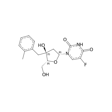 Cc1ccccc1C[C@]1(O)C[C@H](n2cc(F)c(=O)[nH]c2=O)O[C@@H]1CO